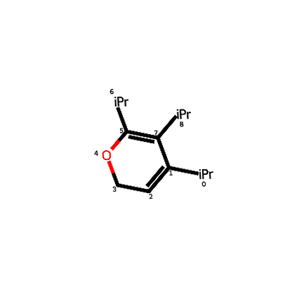 CC(C)C1=CCOC(C(C)C)=C1C(C)C